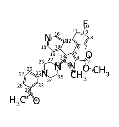 COC(=O)c1c(-c2ccc(F)cc2)c(-c2ccncc2)c(N2CCN(c3cccc(C(C)=O)c3)CC2)n1C